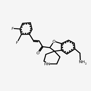 NCc1ccc2c(c1)C1(CCNCC1)C(C(=O)C=Cc1cccc(F)c1F)O2